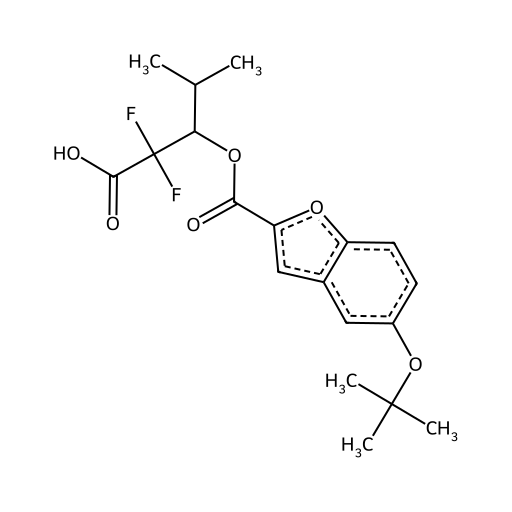 CC(C)C(OC(=O)c1cc2cc(OC(C)(C)C)ccc2o1)C(F)(F)C(=O)O